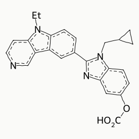 CCn1c2ccncc2c2cc(-c3nc4cc(OC(=O)O)ccc4n3CC3CC3)ccc21